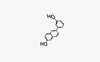 Oc1cccc(-c2[c]c3ccc(O)cc3cc2)c1